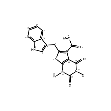 COC(=O)c1c(Cc2c[nH]c3ncccc23)sc2c1c(=O)n(C)c(=O)n2C(C)C